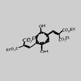 CCOC(=O)C(=Cc1cc(O)c(C=C(C(=O)OCC)C(=O)OCC)cc1O)C(=O)OCC